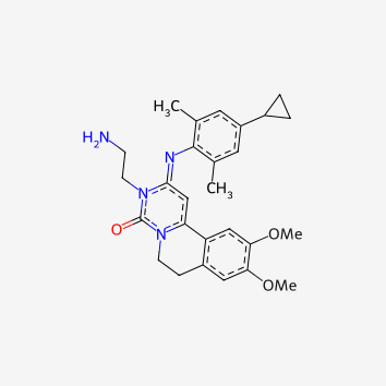 COc1cc2c(cc1OC)-c1c/c(=N\c3c(C)cc(C4CC4)cc3C)n(CCN)c(=O)n1CC2